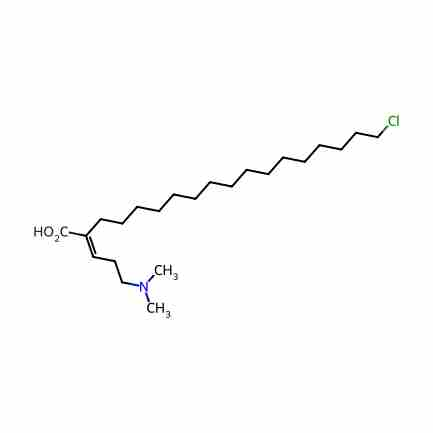 CN(C)CCC=C(CCCCCCCCCCCCCCCCCl)C(=O)O